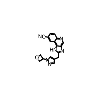 N#Cc1ccc2ncc3nc(Cc4cnn(C5COC5)c4)[nH]c3c2c1